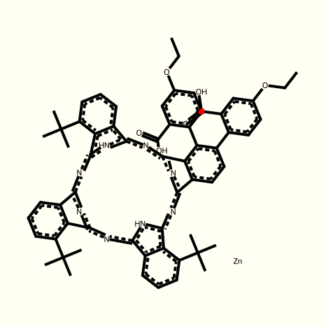 CCOc1ccc(-c2ccc3c(c2-c2ccc(OCC)cc2C(=O)O)-c2nc-3nc3[nH]c(nc4nc(nc5[nH]c(n2)c2cccc(C(C)(C)C)c52)-c2cccc(C(C)(C)C)c2-4)c2cccc(C(C)(C)C)c32)c(C(=O)O)c1.[Zn]